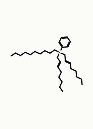 CCCCCC=CC[Si](CC=CCCCCC)(CCCCCCCCCC)c1ccccc1